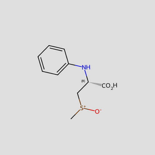 C[S+]([O-])C[C@H](Nc1ccccc1)C(=O)O